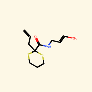 C=CCC1(C(=O)NCC=CO)SCCCS1